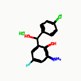 Cl.Nc1cc(F)cc(C(O)c2ccc(Cl)cc2)c1O